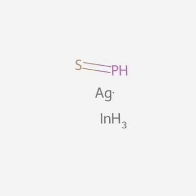 P=S.[Ag].[InH3]